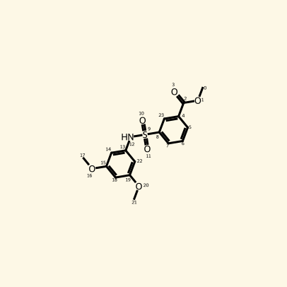 COC(=O)c1cccc(S(=O)(=O)Nc2cc(OC)cc(OC)c2)c1